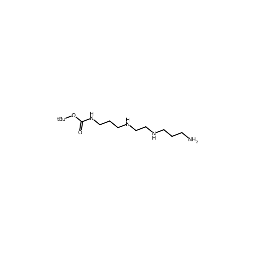 CC(C)(C)OC(=O)NCCCNCCNCCCN